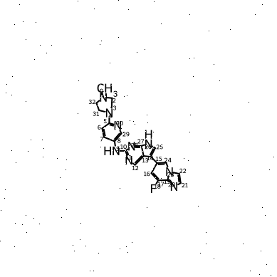 CN1CCN(c2ccc(Nc3ncc4c(-c5cc(F)c6nccn6c5)c[nH]c4n3)cn2)CC1